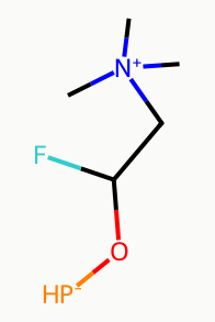 C[N+](C)(C)CC(F)O[PH-]